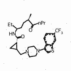 CCCC(=O)[C@H](C)CCC(CC)NC(=O)[C@H]1CC1CN1CCN(c2csc3cc(C(F)(F)F)ccc23)CC1